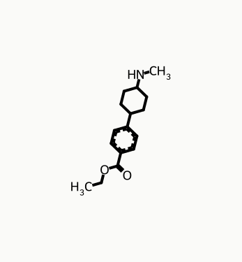 CCOC(=O)c1ccc(C2CCC(NC)CC2)cc1